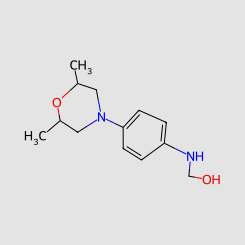 CC1CN(c2ccc(NCO)cc2)CC(C)O1